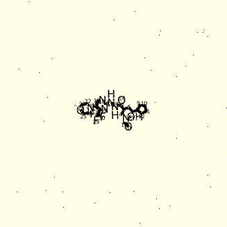 O=CN(O)CC(CCC1CCCC1)C(=O)NNc1ncc(N2CCOCC2)c(C(F)(F)F)n1